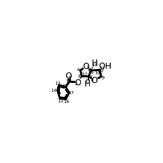 O=C(O[C@@H]1CO[C@@H]2[C@@H]1OC[C@@H]2O)c1ccccc1